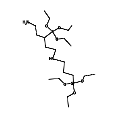 CCO[Si](CCCNCCC(CCN)[Si](OCC)(OCC)OCC)(OCC)OCC